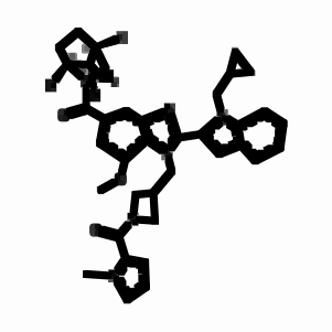 COc1cc(C(=O)N2C[C@H]3CC[C@@H]2[C@@H]3N)cc2nc(-c3cc4ccccc4n3CC3CC3)n(CC3CN(C(=O)c4cccn4C)C3)c12